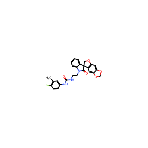 Cc1cc(NC(=O)NCCN2C(=O)C3(COc4cc5c(cc43)OCO5)c3ccccc32)ccc1F